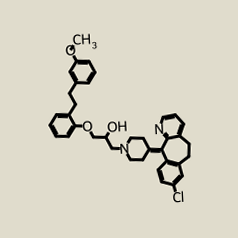 COc1cccc(CCc2ccccc2OCC(O)CN2CCC(=C3c4ccc(Cl)cc4CCc4cccnc43)CC2)c1